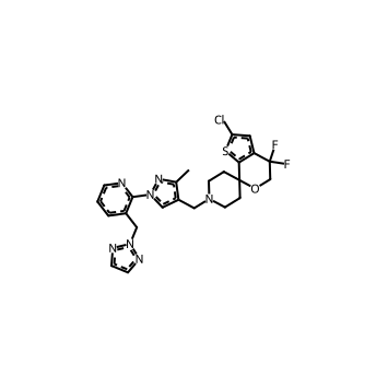 Cc1nn(-c2ncccc2Cn2nccn2)cc1CN1CCC2(CC1)OCC(F)(F)c1cc(Cl)sc12